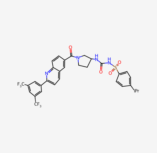 CC(C)c1ccc(S(=O)(=O)NC(=O)NC2CCN(C(=O)c3ccc4nc(-c5cc(C(F)(F)F)cc(C(F)(F)F)c5)ccc4c3)C2)cc1